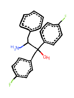 NC(c1ccccc1)C(O)(c1ccc(F)cc1)c1ccc(F)cc1